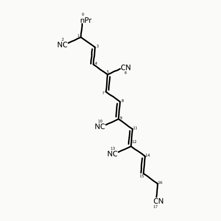 CCCC(C#N)/C=C/C(C#N)=C/C=C(C#N)/C=C(C#N)/C=C/CC#N